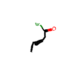 C/C=C/C(=O)Br